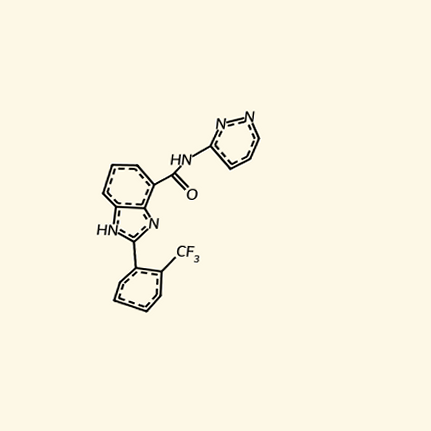 O=C(Nc1cccnn1)c1cccc2[nH]c(-c3ccccc3C(F)(F)F)nc12